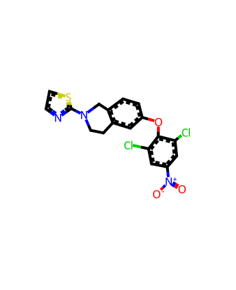 O=[N+]([O-])c1cc(Cl)c(Oc2ccc3c(c2)CCN(c2nccs2)C3)c(Cl)c1